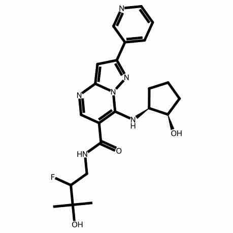 CC(C)(O)C(F)CNC(=O)c1cnc2cc(-c3cccnc3)nn2c1N[C@H]1CCC[C@H]1O